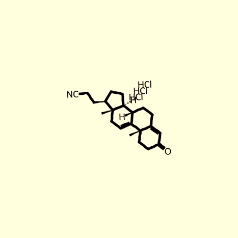 C[C@]12CCC(=O)C=C1CC[C@@H]1C2=CC[C@]2(C)[C@@H](CCC#N)CC[C@@H]12.Cl.Cl.Cl